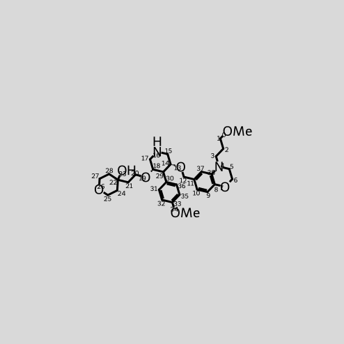 COCCCN1CCOc2ccc(CO[C@H]3CNC[C@@H](OCCC4(O)CCOCC4)C3c3ccc(OC)cc3)cc21